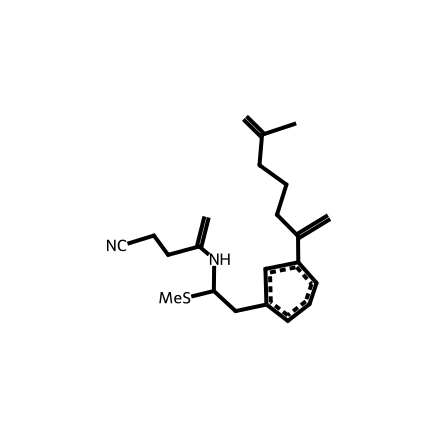 C=C(C)CCCC(=C)c1cccc(CC(NC(=C)CCC#N)SC)c1